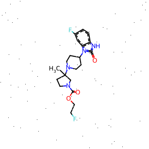 CC1(N2CCC(n3c(=O)[nH]c4ccc(F)cc43)CC2)CCN(C(=O)OCCF)C1